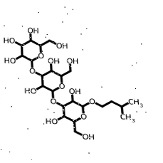 CC(C)CCOC1OC(CO)C(O)C(OC2OC(CO)C(O)C(OC3OC(CO)C(O)C(O)C3O)C2O)C1O